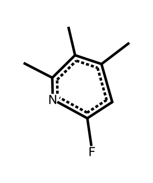 Cc1cc(F)nc(C)c1C